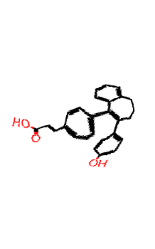 O=C(O)/C=C/c1ccc(C2=C(c3ccc(O)cc3)CCCc3ccccc32)cc1